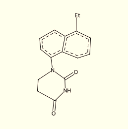 CCc1cccc2c(N3CCC(=O)NC3=O)cccc12